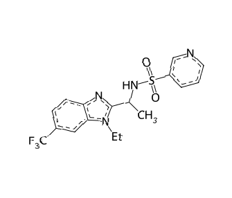 CCn1c(C(C)NS(=O)(=O)c2cccnc2)nc2ccc(C(F)(F)F)cc21